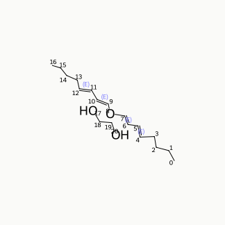 CCCC/C=C/C=C/O/C=C/C=C/CCCC.OCCO